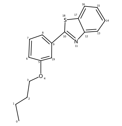 CCCCOc1cccc(-c2nc3ccccc3s2)c1